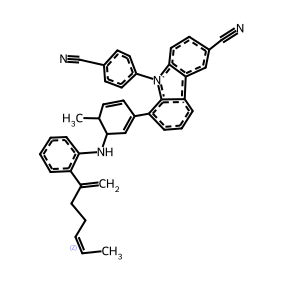 C=C(CC/C=C\C)c1ccccc1NC1C=C(c2cccc3c4cc(C#N)ccc4n(-c4ccc(C#N)cc4)c23)C=CC1C